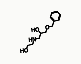 OCCNCC(O)COCc1ccccc1